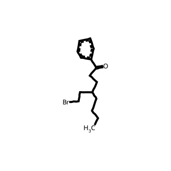 CCCCC(CCBr)CCC(=O)c1ccccc1